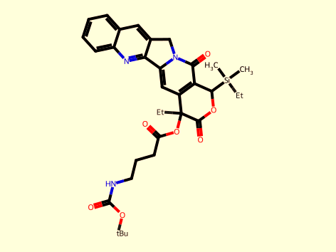 CCC1(OC(=O)CCCNC(=O)OC(C)(C)C)C(=O)OC([Si](C)(C)CC)c2c1cc1n(c2=O)Cc2cc3ccccc3nc2-1